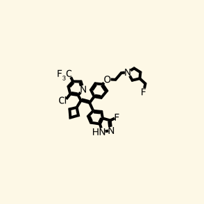 FCC1CCN(CCOc2ccc(C(=C(c3ncc(C(F)(F)F)cc3Cl)C3CCC3)c3ccc4[nH]nc(F)c4c3)cc2)C1